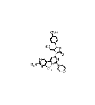 COc1ccc(C2OC(=O)N(c3cc(-c4cnc(N)nc4C(F)(F)F)nc(N4CCOCC4)n3)C2CO)cc1